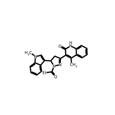 CCC(=O)N1N=C(c2c(C)c3ccccc3[nH]c2=O)CC1c1cn(C)c2ccccc12